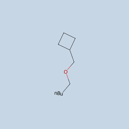 CCCCCOCC1CCC1